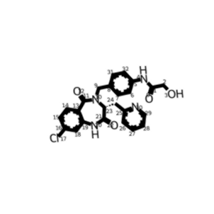 O=C(CO)Nc1ccc(CN2C(=O)c3ccc(Cl)cc3NC(=O)[C@H]2Cc2ccccn2)cc1